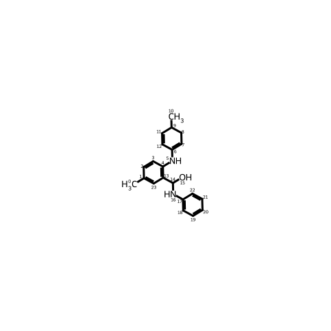 Cc1ccc(NC2=CCC(C)C=C2)c(C(O)Nc2ccccc2)c1